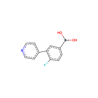 OB(O)c1ccc(F)c(-c2ccncc2)c1